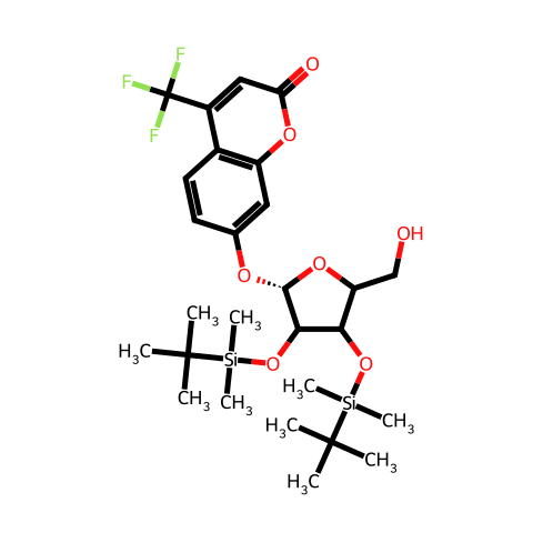 CC(C)(C)[Si](C)(C)OC1C(CO)O[C@@H](Oc2ccc3c(C(F)(F)F)cc(=O)oc3c2)C1O[Si](C)(C)C(C)(C)C